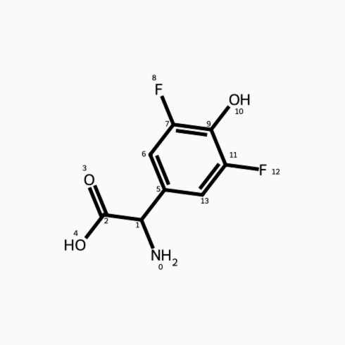 NC(C(=O)O)c1cc(F)c(O)c(F)c1